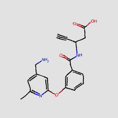 C#CC(CC(=O)O)NC(=O)c1cccc(Oc2cc(CN)cc(C)n2)c1